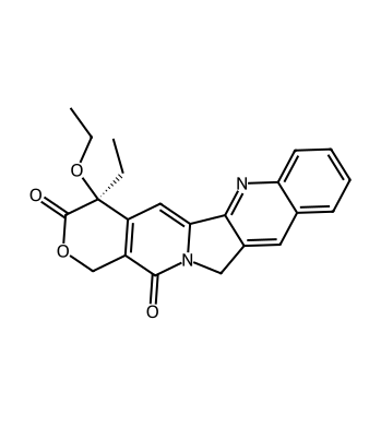 CCO[C@]1(CC)C(=O)OCc2c1cc1n(c2=O)Cc2cc3ccccc3nc2-1